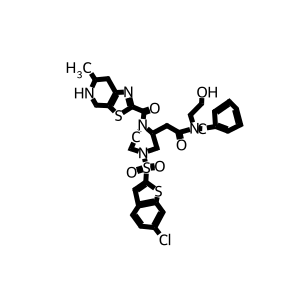 CC1Cc2nc(C(=O)N3CCN(S(=O)(=O)c4cc5ccc(Cl)cc5s4)CC3CC(=O)N(CCO)Cc3ccccc3)sc2CN1